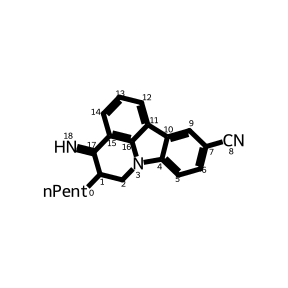 CCCCCC1Cn2c3ccc(C#N)cc3c3cccc(c32)C1=N